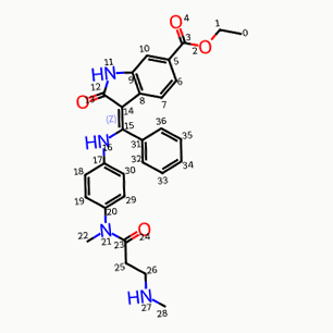 CCOC(=O)c1ccc2c(c1)NC(=O)/C2=C(\Nc1ccc(N(C)C(=O)CCNC)cc1)c1ccccc1